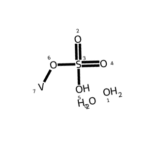 O.O.O=S(=O)(O)[O][V]